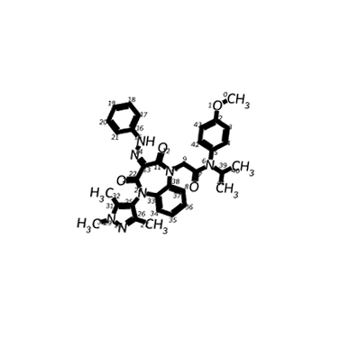 COc1ccc(N(C(=O)Cn2c(=O)c(=NNc3ccccc3)c(=O)n(-c3c(C)nn(C)c3C)c3ccccc32)C(C)C)cc1